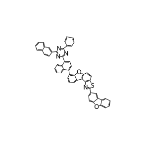 c1ccc(-c2nc(-c3ccc4ccccc4c3)nc(-c3ccc(-c4cccc5c4oc4ccc6sc(-c7ccc8oc9ccccc9c8c7)nc6c45)c4ccccc34)n2)cc1